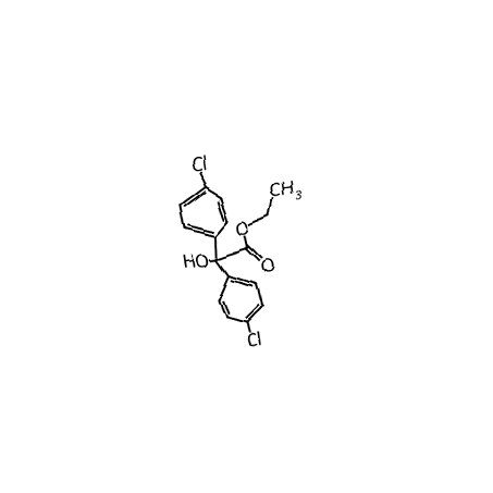 CCOC(=O)C(O)(c1ccc(Cl)cc1)c1ccc(Cl)cc1